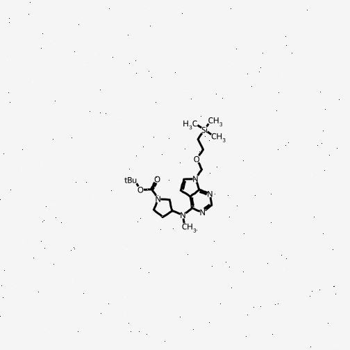 CN(c1ncnc2c1ccn2COCC[Si](C)(C)C)C1CCN(C(=O)OC(C)(C)C)C1